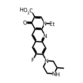 CCn1cc(C(=O)O)c(=O)c2cc3cc(F)c(N4CCNC(C)C4)cc3nc21